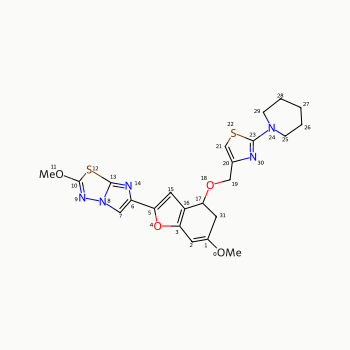 COC1=Cc2oc(-c3cn4nc(OC)sc4n3)cc2C(OCc2csc(N3CCCCC3)n2)C1